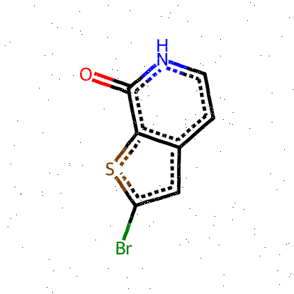 O=c1[nH]ccc2cc(Br)sc12